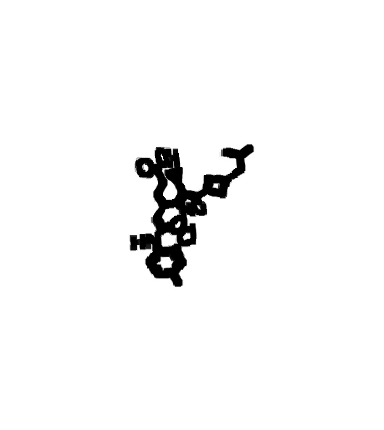 Cc1ccc(NC(=O)C[C@@H](CCC(=O)O)c2noc([C@H]3C[C@@H](CC(C)C)C3)c2C2CC2)c(Cl)c1